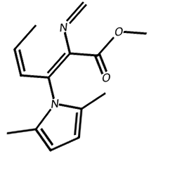 C=N/C(C(=O)OC)=C(\C=C/C)n1c(C)ccc1C